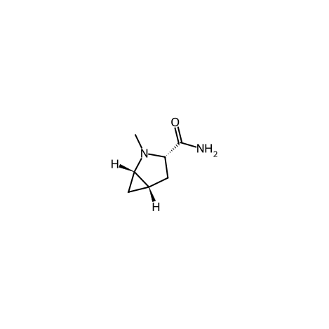 CN1[C@H](C(N)=O)C[C@@H]2C[C@@H]21